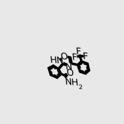 NC(=O)c1ccccc1C1=NC(c2ccccc2C(F)(F)F)=CON1